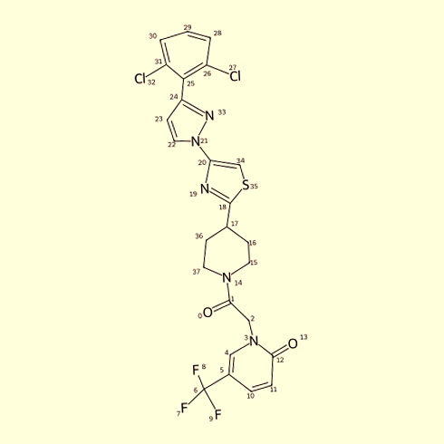 O=C(Cn1cc(C(F)(F)F)ccc1=O)N1CCC(c2nc(-n3ccc(-c4c(Cl)cccc4Cl)n3)cs2)CC1